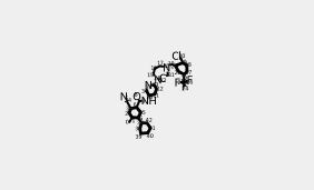 Cc1cc(C#N)c(C(=O)Nc2ccc(N3CCCN(Cc4cc(C(F)(F)F)ccc4Cl)CC3)nc2)cc1-c1ccccc1